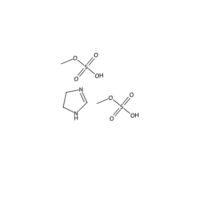 C1=NCCN1.COS(=O)(=O)O.COS(=O)(=O)O